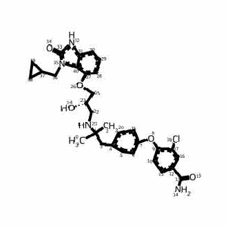 CC(C)(Cc1ccc(Oc2ccc(C(N)=O)cc2Cl)cc1)NC[C@H](O)COc1cccc2[nH]c(=O)n(CC3CC3)c12